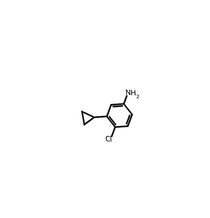 Nc1ccc(Cl)c(C2CC2)c1